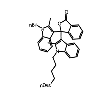 CCCCCCCCCCCCCCn1c(C)c(C2(c3c(C)n(CCCC)c4ccccc34)OC(=O)c3ccccc32)c2ccccc21